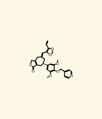 C=CC1=C(/C=C2/CC3=C(C[C@H](c4cc(OC)c(OCc5ccncc5)c(OC)c4)C2)C(=O)OC3)OCO1